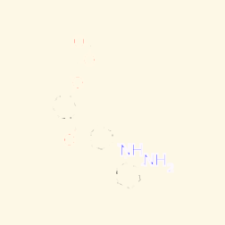 CC1(C)OCC(COc2cccc3c2CCc2cc(Nc4ccccc4N)ccc2C3=O)O1